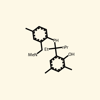 CCCC(CC)(Pc1ccc(C)cc1CNC)c1cc(C)cc(C)c1O